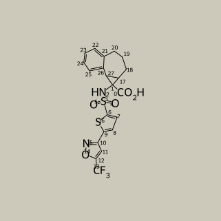 O=C(O)C1(NS(=O)(=O)c2ccc(-c3cc(C(F)(F)F)on3)s2)C2CCCc3ccccc3C21